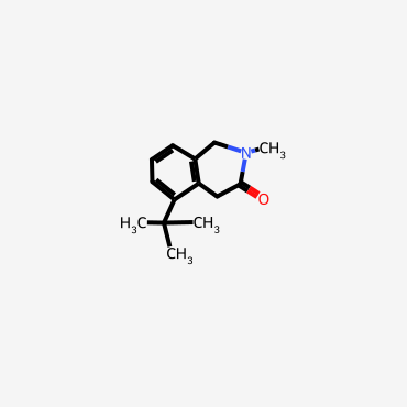 CN1Cc2cccc(C(C)(C)C)c2CC1=O